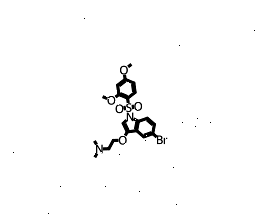 COc1ccc(S(=O)(=O)n2cc(OCCN(C)C)c3cc(Br)ccc32)c(OC)c1